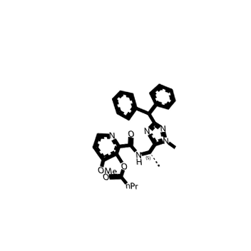 CCCC(=O)Oc1c(OC)ccnc1C(=O)N[C@@H](C)c1nc(C(c2ccccc2)c2ccccc2)nn1C